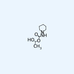 CC(O)OC(=O)NN1CCCCC1